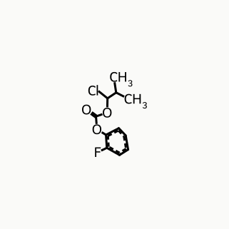 CC(C)C(Cl)OC(=O)Oc1ccccc1F